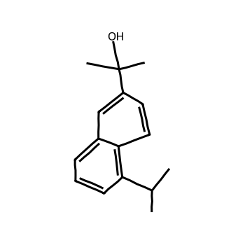 CC(C)c1cccc2cc(C(C)(C)O)ccc12